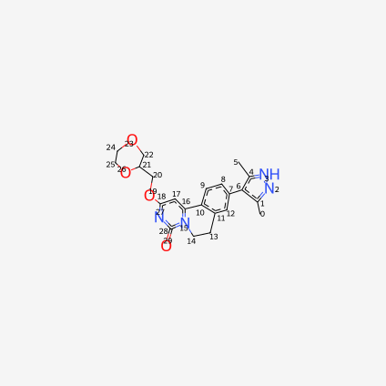 Cc1n[nH]c(C)c1-c1ccc2c(c1)CCn1c-2cc(OCC2COCCO2)nc1=O